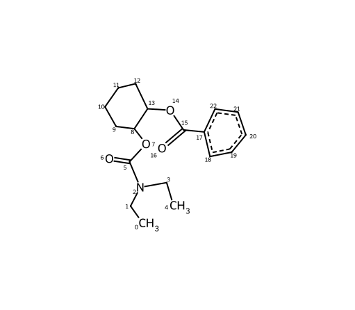 CCN(CC)C(=O)OC1CCCCC1OC(=O)c1ccccc1